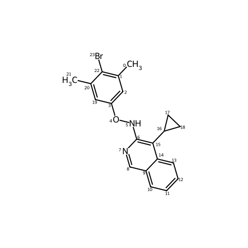 Cc1cc(ONc2ncc3ccccc3c2C2CC2)cc(C)c1Br